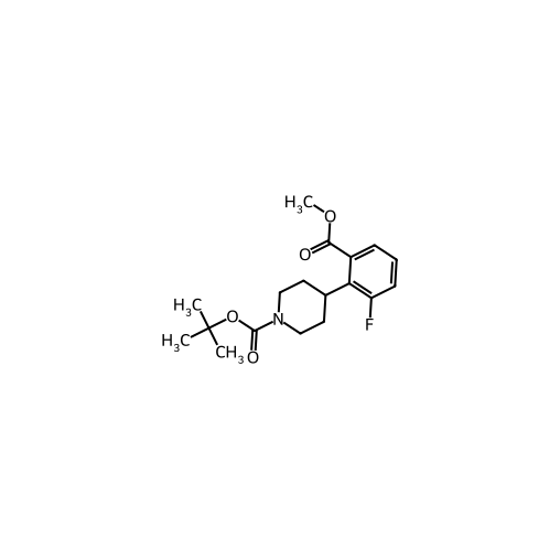 COC(=O)c1cccc(F)c1C1CCN(C(=O)OC(C)(C)C)CC1